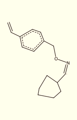 C=Cc1ccc(CO/N=[C]\C2CCCCC2)cc1